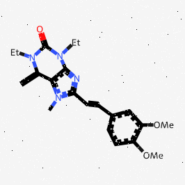 C=C1c2c(nc(/C=C/c3ccc(OC)c(OC)c3)n2C)N(CC)C(=O)N1CC